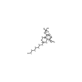 CCCCCCCCN1CCN(C(=O)OC(C)(C)C)C(C(=O)OC)C1